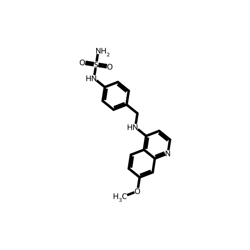 COc1ccc2c(NCc3ccc(NS(N)(=O)=O)cc3)ccnc2c1